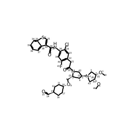 CO[C@H]1CN([C@H]2C[C@@H](CO[C@H]3CC[C@H](C=O)CC3)N(C(=O)Cc3cc(Cl)c(NC(=O)c4csc5ccccc45)cc3F)C2)C[C@H]1OC